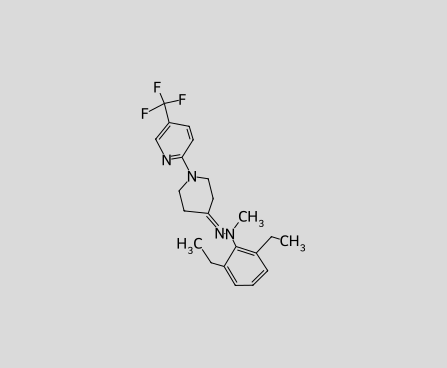 CCc1cccc(CC)c1N(C)N=C1CCN(c2ccc(C(F)(F)F)cn2)CC1